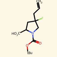 C=CCC1(F)CC(C(=O)O)N(C(=O)OC(C)(C)C)C1